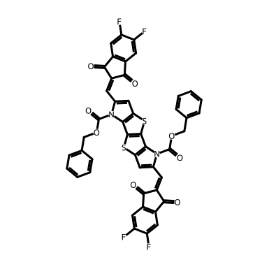 O=C1C(=Cc2cc3sc4c(sc5cc(C=C6C(=O)c7cc(F)c(F)cc7C6=O)n(C(=O)OCc6ccccc6)c54)c3n2C(=O)OCc2ccccc2)C(=O)c2cc(F)c(F)cc21